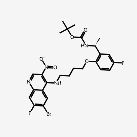 C[C@@H](NC(=O)OC(C)(C)C)c1cc(F)ccc1OCCCCNc1c([N+](=O)[O-])cnc2cc(F)c(Br)cc12